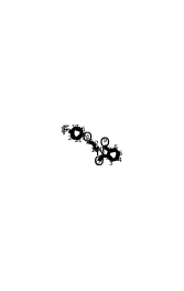 O=C1c2ccccc2C(=O)N1CCCOc1ccc(F)cc1